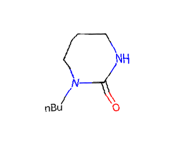 CCCCN1CCCNC1=O